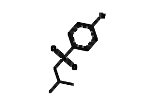 CC(C)CS(=O)(=O)c1ccc(Br)cc1